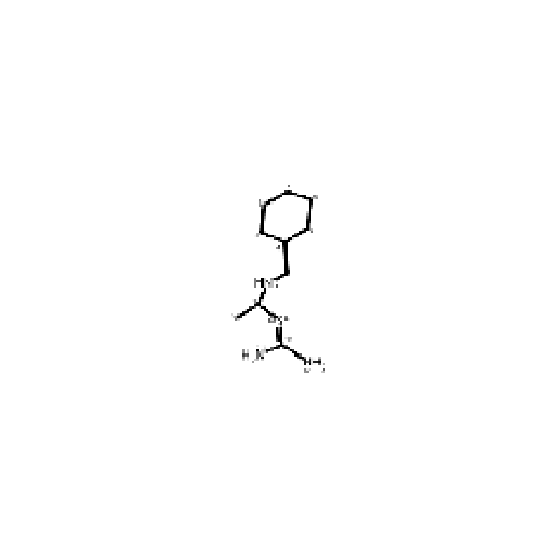 CC(NCC1CCCCC1)[S+]=C(N)N